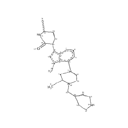 CC1CN(c2cccc3c(C4CCC(=O)NC4=O)nn(C)c23)CCN1CC1CCNCC1